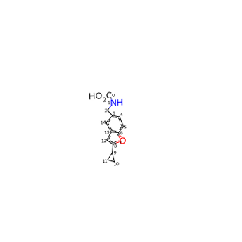 O=C(O)NCc1ccc2oc(C3CC3)cc2c1